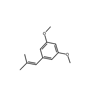 COc1cc(C=C(C)C)cc(OC)c1